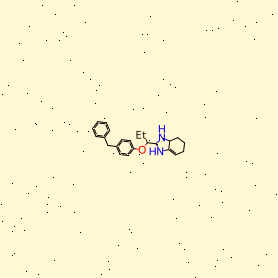 CCC(Oc1ccc(Cc2ccccc2)cc1)C1NC2=CCCCC2N1